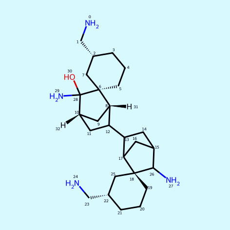 NC[C@@H]1CCC[C@]2(C1)[C@H]1C[C@H](CC1C1CC3CC1[C@]1(CCC[C@H](CN)C1)C3N)C2(N)O